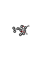 N#Cc1cc(C#N)c2c(c1)c1cc(C#N)cc(C#N)c1n2B1c2ccccc2-n2c3ccc(-n4c5ccccc5c5ccccc54)cc3c3cc(-n4c5ccccc5c5ccccc54)cc1c32